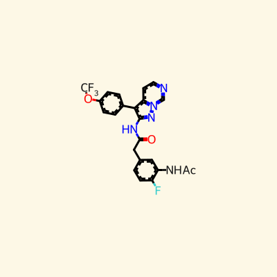 CC(=O)Nc1cc(CC(=O)Nc2nn3cnccc3c2-c2ccc(OC(F)(F)F)cc2)ccc1F